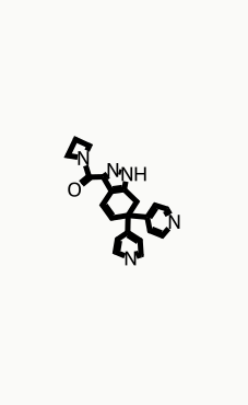 O=C(c1n[nH]c2c1C=CC(c1ccncc1)(c1ccncc1)C2)N1CCC1